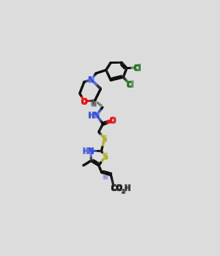 CC1=C(/C=C/C(=O)O)SC(SCC(=O)NC[C@H]2CN(CC3C=C(Cl)C(Cl)=CC3)CCO2)N1